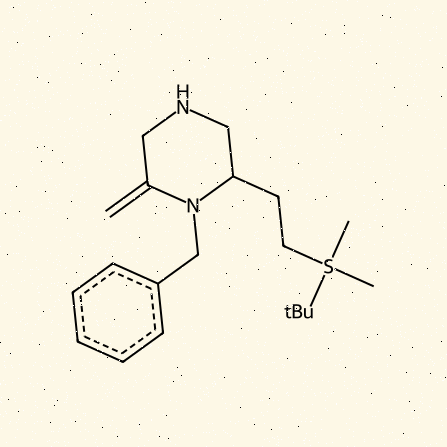 C=C1CNCC(CCS(C)(C)C(C)(C)C)N1Cc1ccccc1